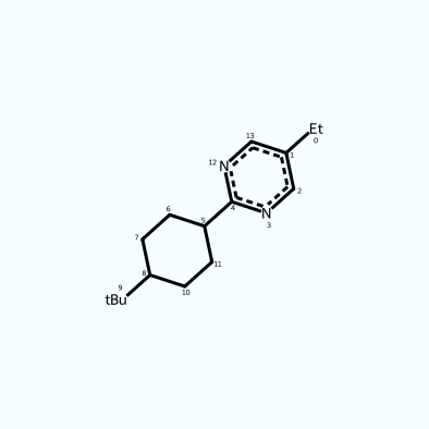 CCc1cnc(C2CCC(C(C)(C)C)CC2)nc1